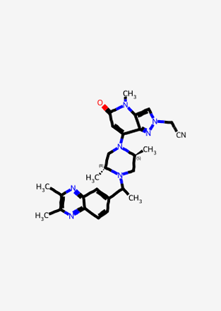 Cc1nc2ccc(C(C)N3C[C@H](C)N(c4cc(=O)n(C)c5cn(CC#N)nc45)C[C@H]3C)cc2nc1C